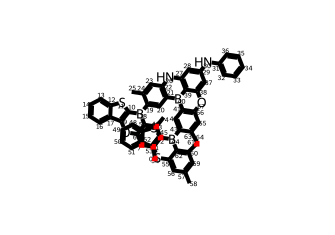 Cc1cc(C)c2c(c1)Oc1c(sc3ccccc13)B2c1cc2c(cc1C)Nc1cc(Nc3ccccc3)cc3c1B2c1cc(B2c4sc5ccccc5c4Sc4cc(C)cc(C)c42)c(C)cc1O3